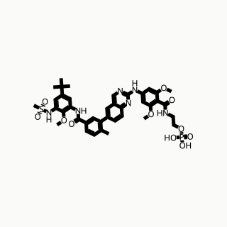 COc1cc(Nc2ncc3cc(-c4cc(C(=O)Nc5cc(C(C)(C)C)cc(NS(C)(=O)=O)c5OC)ccc4C)ccc3n2)cc(OC)c1C(=O)NCCOP(=O)(O)O